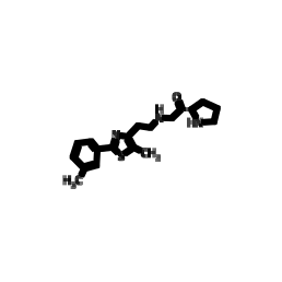 Cc1cccc(-c2nc(CCNCC(=O)[C@@H]3CCCN3)c(C)s2)c1